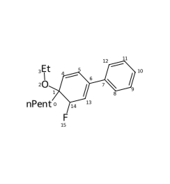 CCCCCC1(OCC)C=CC(c2ccccc2)=CC1F